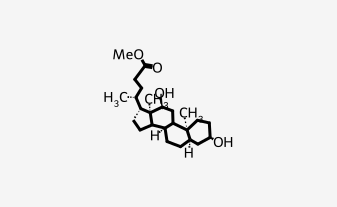 COC(=O)CC[C@@H](C)[C@H]1CCC2[C@@H]3CC[C@@H]4C[C@H](O)CC[C@]4(C)C3C[C@H](O)[C@@]21C